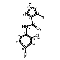 Cc1c[nH]nc1C(=O)Nc1ccc(Cl)cc1Cl